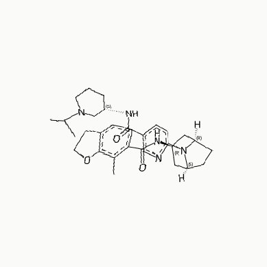 Cc1c(C(=O)N[C@H]2C[C@H]3CC[C@@H](C2)N3c2ccc(C(=O)N[C@H]3CCCN(C(C)C)C3)cn2)ccc2c1OCC2